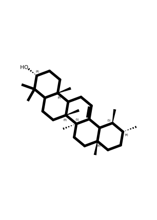 C[C@@H]1CC[C@]2(C)CC[C@]3(C)C(=CCC4[C@@]5(C)CC[C@@H](O)C(C)(C)C5CC[C@]43C)C2[C@H]1C